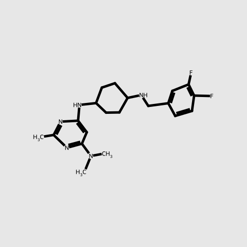 Cc1nc(NC2CCC(NCc3ccc(F)c(F)c3)CC2)cc(N(C)C)n1